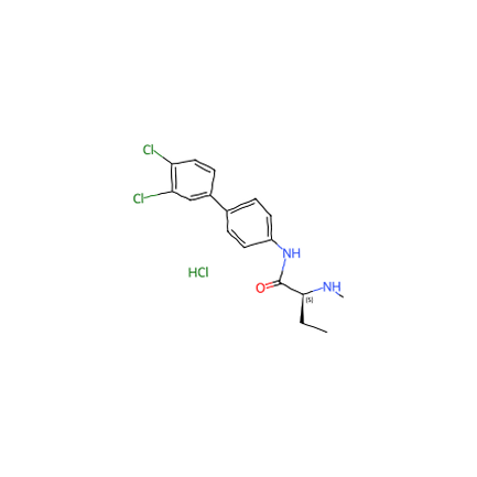 CC[C@H](NC)C(=O)Nc1ccc(-c2ccc(Cl)c(Cl)c2)cc1.Cl